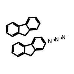 [N-]=[N+]=[N-].c1ccc2c(c1)Cc1ccccc1-2.c1ccc2c(c1)Cc1ccccc1-2